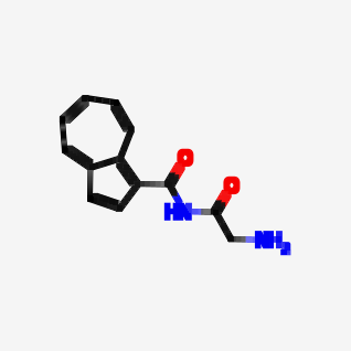 NCC(=O)NC(=O)c1ccc2cccccc1-2